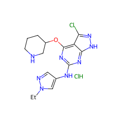 CCn1cc(Nc2nc(OC3CCCNC3)c3c(Cl)n[nH]c3n2)cn1.Cl